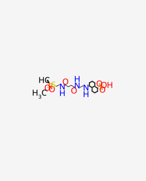 C#CP(=O)(OCC)SCCNC(=O)CCC(=O)NCCNc1cccc2c(S(=O)(=O)O)cccc12